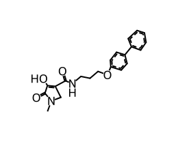 CN1CC(C(=O)NCCCOc2ccc(-c3ccccc3)cc2)=C(O)C1=O